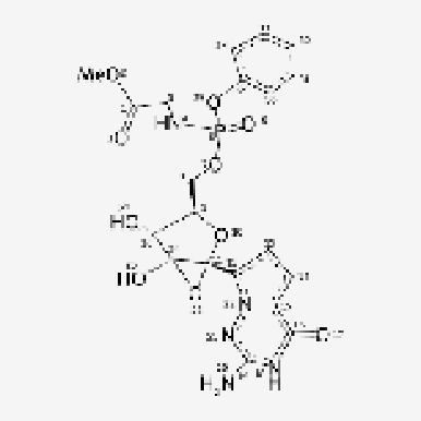 COC(=O)CNP(=O)(OC[C@H]1O[C@]2(c3ccc4c(=O)[nH]c(N)nn34)O[C@@]2(O)[C@@H]1O)Oc1ccccc1